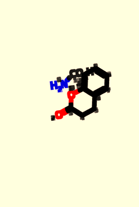 NC(=O)O.O=C1CCc2ccccc2O1